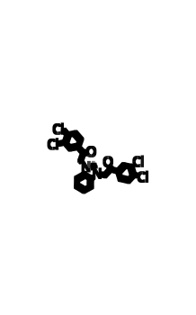 O=C(Cn1c[n+](CC(=O)c2ccc(Cl)c(Cl)c2)c2ccccc21)c1ccc(Cl)c(Cl)c1